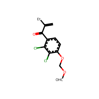 C=C(CC)C(=O)c1ccc(OCOC=O)c(Cl)c1Cl